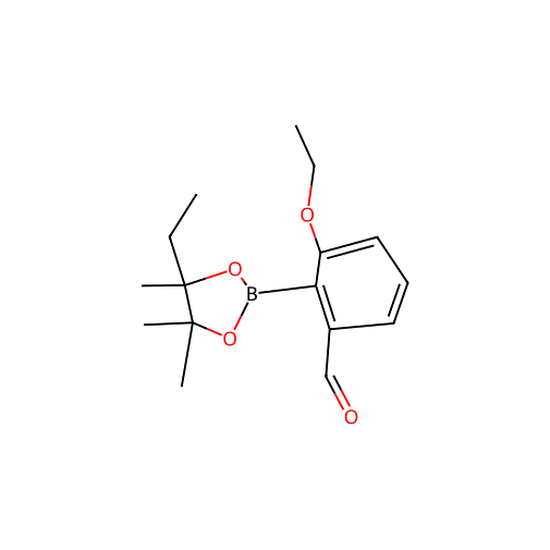 CCOc1cccc(C=O)c1B1OC(C)(C)C(C)(CC)O1